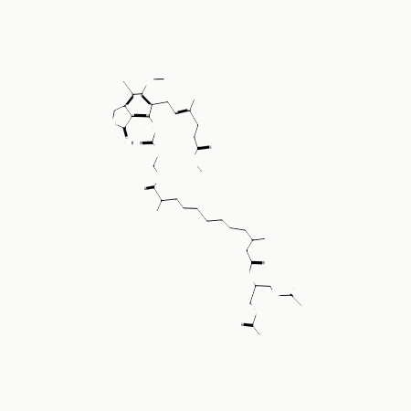 COC(=O)CC/C(C)=C/Cc1c(OC)c(C)c2c(c1OC(=O)OCOC(=O)C(C)CCCCCCCC(C)CC(=O)OC(COC(C)=O)COC(C)=O)C(=O)OC2